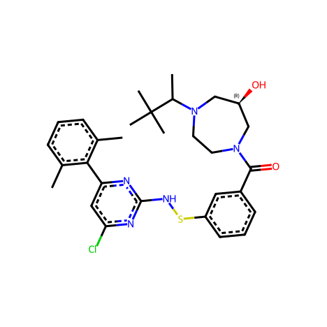 Cc1cccc(C)c1-c1cc(Cl)nc(NSc2cccc(C(=O)N3CCN(C(C)C(C)(C)C)C[C@@H](O)C3)c2)n1